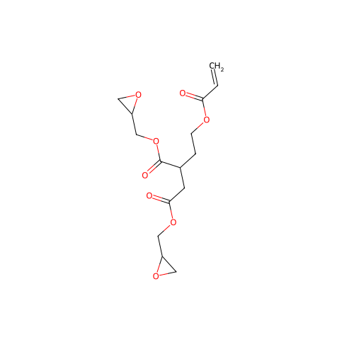 C=CC(=O)OCCC(CC(=O)OCC1CO1)C(=O)OCC1CO1